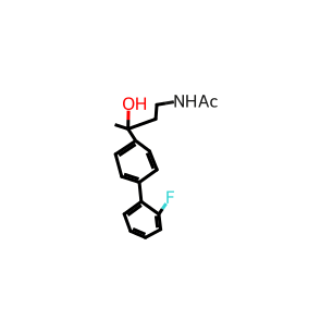 CC(=O)NCCC(C)(O)c1ccc(-c2ccccc2F)cc1